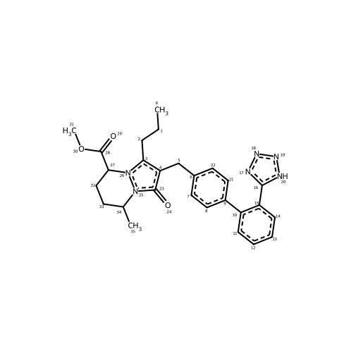 CCCc1c(Cc2ccc(-c3ccccc3-c3nnn[nH]3)cc2)c(=O)n2n1C(C(=O)OC)CCC2C